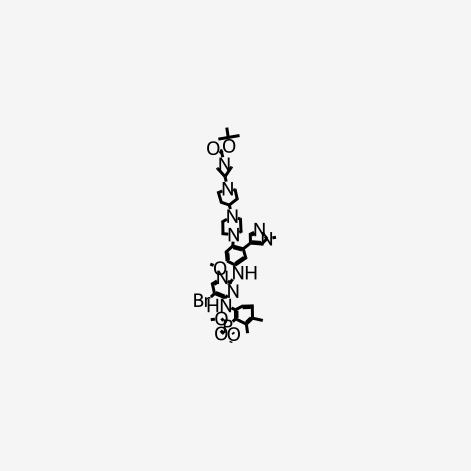 COc1cc(N2CCN(C3CCN(C4CN(C(=O)OC(C)(C)C)C4)CC3)CC2)c(-c2cnn(C)c2)cc1Nc1ncc(Br)c(Nc2ccc(C)c(C)c2P(=O)(OC)OC)n1